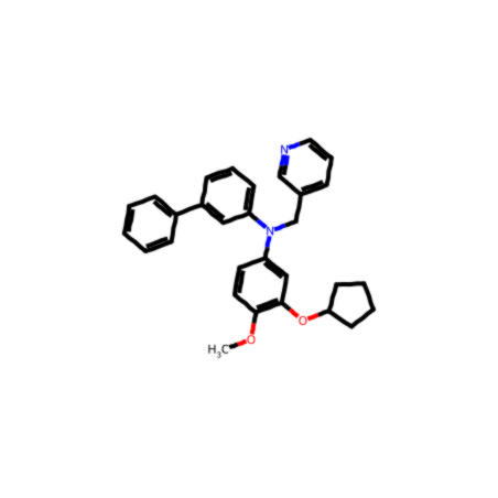 COc1ccc(N(Cc2cccnc2)c2cccc(-c3ccccc3)c2)cc1OC1CCCC1